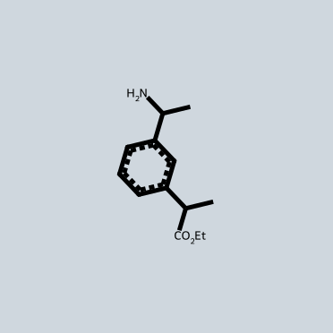 CCOC(=O)C(C)c1cccc(C(C)N)c1